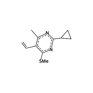 C=Cc1c(C)nc(C2CC2)nc1SC